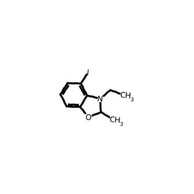 CCN1c2c(I)cccc2OC1C